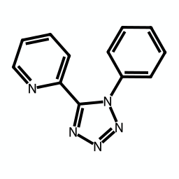 c1ccc(-n2nnnc2-c2ccccn2)cc1